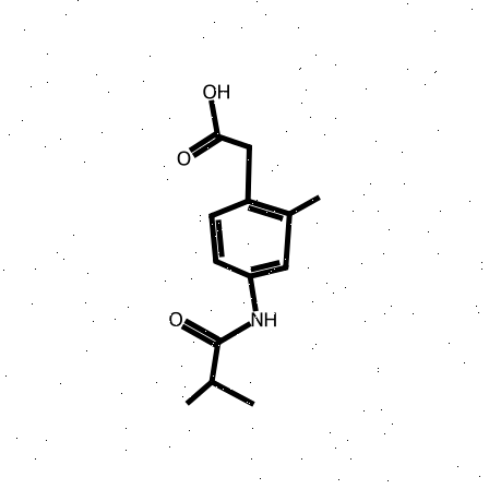 Cc1cc(NC(=O)C(C)C)ccc1CC(=O)O